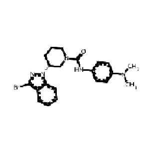 CN(C)c1ccc(NC(=O)N2CCC[C@@H](n3nc(Br)c4ccccc43)C2)cc1